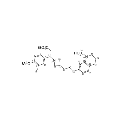 CCOC(=O)C[C@@H](c1ccc(OC)c(F)c1)N1CC(CCCc2ccc3c(n2)N(C(=O)O)CCC3)C1